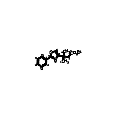 CCOC(=O)CC(C)(C)c1csc(-c2cccnc2)n1